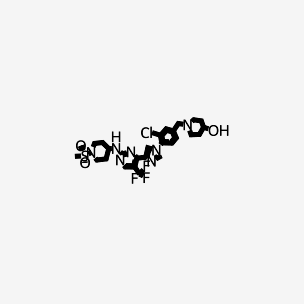 CS(=O)(=O)N1CCC(Nc2ncc(C(F)(F)F)c(-c3cn(-c4ccc(CN5CCC(O)CC5)cc4Cl)cn3)n2)CC1